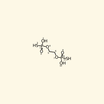 O=P(O)(S)OCCOP(=O)(O)S